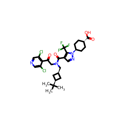 CC(C)(C)[C@H]1C[C@@H](CN(CC(=O)c2c(Cl)cncc2Cl)C(=O)c2cnn([C@H]3CC[C@H](C(=O)O)CC3)c2C(F)(F)F)C1